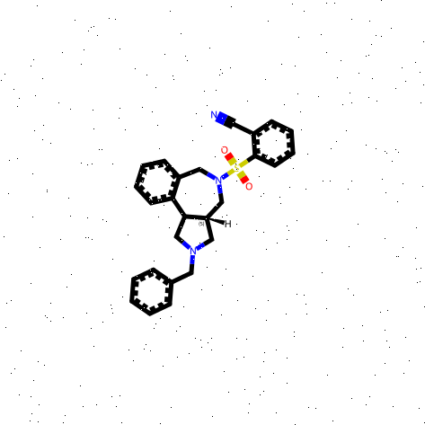 N#Cc1ccccc1S(=O)(=O)N1Cc2ccccc2C2CN(Cc3ccccc3)C[C@H]2C1